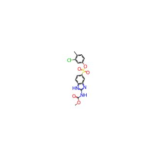 COC(=O)Nc1nc2cc(S(=O)(=O)Oc3ccc(C)c(Cl)c3)ccc2[nH]1